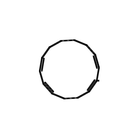 [C]1=CCCC=CC=CCCCCC=C1